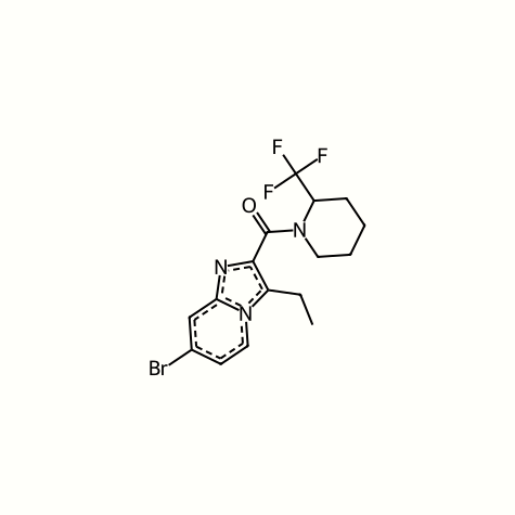 CCc1c(C(=O)N2CCCCC2C(F)(F)F)nc2cc(Br)ccn12